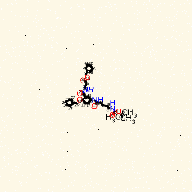 CC(C)(C)OC(=O)NCCCCC(=O)Nc1ccc(OCc2ccccc2)c(C(=O)NCCC(=O)OCc2ccccc2)c1